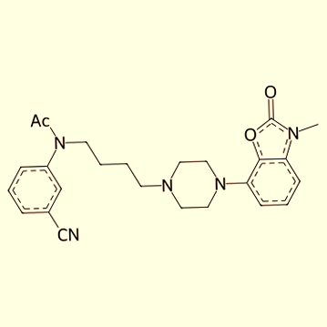 CC(=O)N(CCCCN1CCN(c2cccc3c2oc(=O)n3C)CC1)c1cccc(C#N)c1